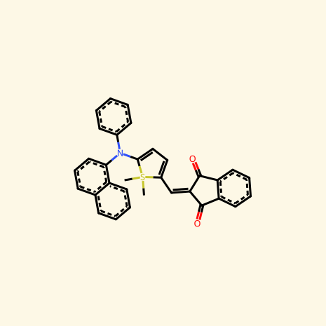 CS1(C)C(C=C2C(=O)c3ccccc3C2=O)=CC=C1N(c1ccccc1)c1cccc2ccccc12